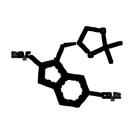 CCOC(=O)c1ccc2cc(C(=O)OCC)n(C[C@@H]3COC(C)(C)O3)c2c1